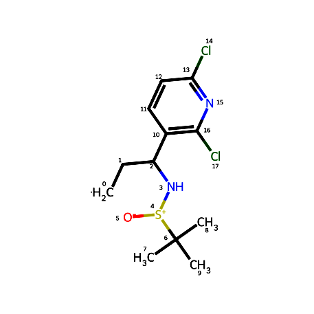 [CH2]CC(N[S+]([O-])C(C)(C)C)c1ccc(Cl)nc1Cl